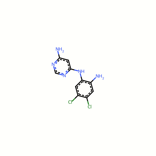 Nc1cc(Nc2cc(Cl)c(Cl)cc2N)ncn1